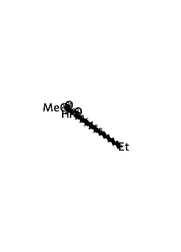 CCC=CCC=CCC=CCC=CCC=CCC=CCCC(=O)NCCC(=O)OC